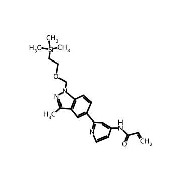 C=CC(=O)Nc1ccnc(-c2ccc3c(c2)c(C)nn3COCC[Si](C)(C)C)c1